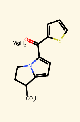 O=C(c1cccs1)c1ccc2n1CCC2C(=O)O.[MgH2]